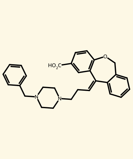 O=C(O)c1ccc2c(c1)/C(=C\CCN1CCN(Cc3ccccc3)CC1)c1ccccc1CO2